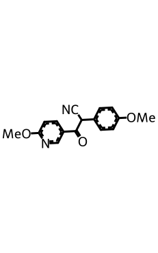 COc1ccc(C(C#N)C(=O)c2ccc(OC)nc2)cc1